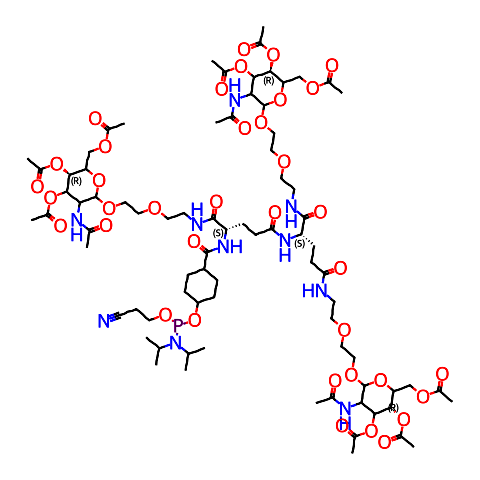 CC(=O)NC1C(OCCOCCNC(=O)CC[C@H](NC(=O)CC[C@H](NC(=O)C2CCC(OP(OCCC#N)N(C(C)C)C(C)C)CC2)C(=O)NCCOCCOC2OC(COC(C)=O)[C@H](OC(C)=O)C(OC(C)=O)C2NC(C)=O)C(=O)NCCOCCOC2OC(COC(C)=O)[C@H](OC(C)=O)C(OC(C)=O)C2NC(C)=O)OC(COC(C)=O)[C@H](OC(C)=O)C1OC(C)=O